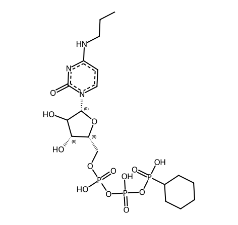 CCCNc1ccn([C@@H]2O[C@H](COP(=O)(O)OP(=O)(O)OP(=O)(O)C3CCCCC3)[C@H](O)C2O)c(=O)n1